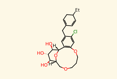 CCC1C=CC(Cc2cc3c(cc2Cl)OCCCOC[C@H]2O[C@@H]3[C@H](O)[C@@H](O)[C@@H]2O)=CC1